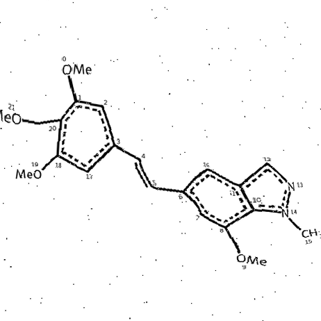 COc1cc(C=Cc2cc(OC)c3c(cnn3C)c2)cc(OC)c1OC